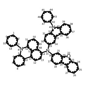 c1ccc(N2c3ccccc3-c3ccc(N(c4ccc5c(c4)oc4ccccc45)c4ccc5c(c4)c4ccccc4n5-c4ccccc4)c4cccc2c34)cc1